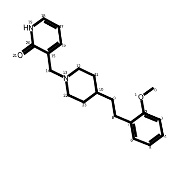 COc1ccccc1CCC1CCN(Cc2ccc[nH]c2=O)CC1